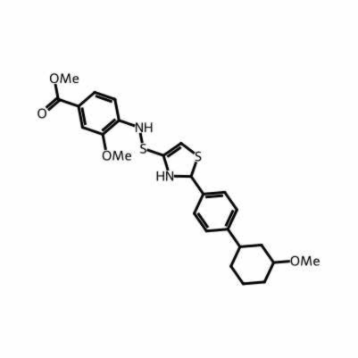 COC(=O)c1ccc(NSC2=CSC(c3ccc(C4CCCC(OC)C4)cc3)N2)c(OC)c1